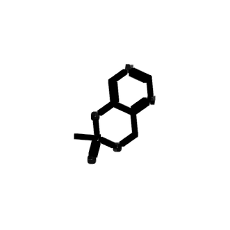 CP1(=O)OCc2ncncc2O1